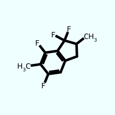 Cc1c(F)cc2c(c1F)C(F)(F)C(C)C2